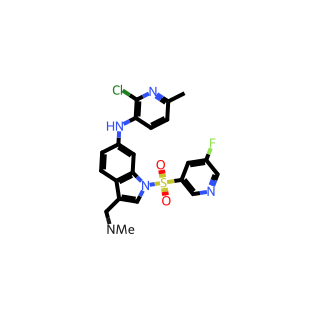 CNCc1cn(S(=O)(=O)c2cncc(F)c2)c2cc(Nc3ccc(C)nc3Cl)ccc12